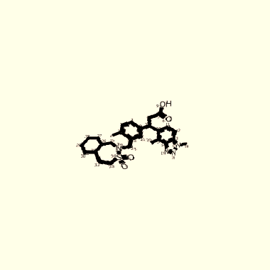 Cc1ccc(C(CC(=O)O)c2ccc3c(nnn3C)c2C)cc1CN1CC2CCCCC2CCS1(=O)=O